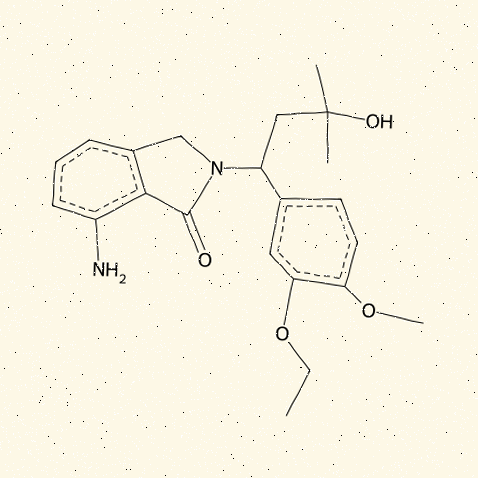 CCOc1cc(C(CC(C)(C)O)N2Cc3cccc(N)c3C2=O)ccc1OC